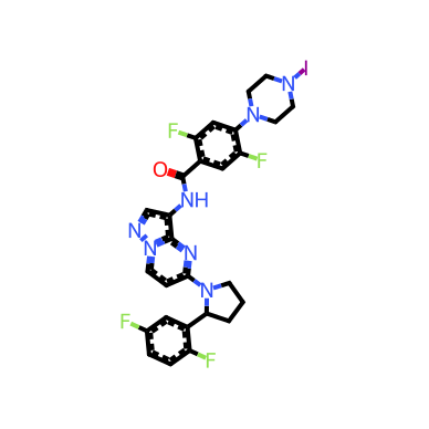 O=C(Nc1cnn2ccc(N3CCCC3c3cc(F)ccc3F)nc12)c1cc(F)c(N2CCN(I)CC2)cc1F